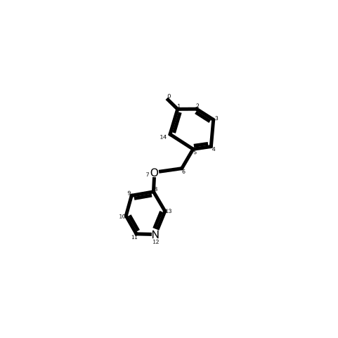 Cc1cccc(COc2cccnc2)c1